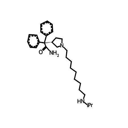 CC(C)NCCCCCCCCCN1CC[C@@H](C(C(N)=O)(c2ccccc2)c2ccccc2)C1